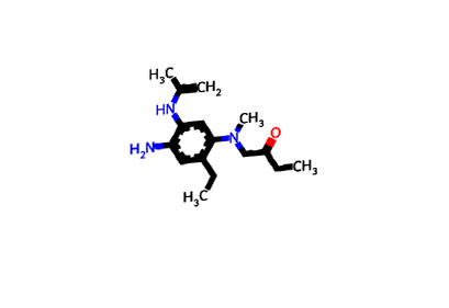 C=C(C)Nc1cc(N(C)CC(=O)CC)c(CC)cc1N